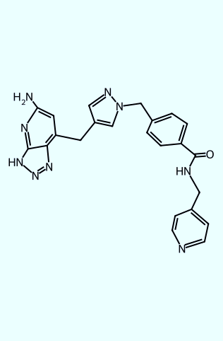 Nc1cc(Cc2cnn(Cc3ccc(C(=O)NCc4ccncc4)cc3)c2)c2nn[nH]c2n1